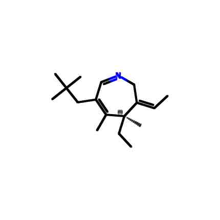 CC=C1CN=CC(CC(C)(C)C)=C(C)[C@]1(C)CC